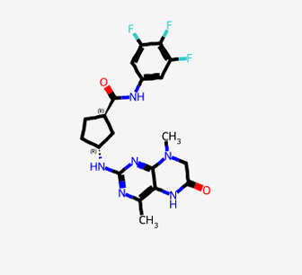 Cc1nc(N[C@@H]2CC[C@@H](C(=O)Nc3cc(F)c(F)c(F)c3)C2)nc2c1NC(=O)CN2C